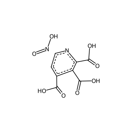 O=C(O)c1ccnc(C(=O)O)c1C(=O)O.O=NO